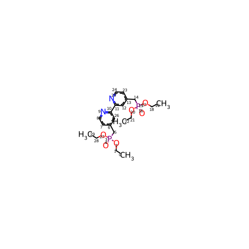 CCOP(=O)(Cc1ccnc(-c2cc(CP(=O)(OCC)OCC)ccn2)c1)OCC